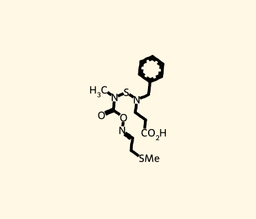 CSCC=NOC(=O)N(C)SN(CCC(=O)O)Cc1ccccc1